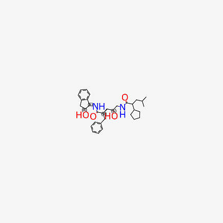 CC(C)CC(C(=O)NC[C@@H](O)C[C@@H](Cc1ccccc1)C(=O)N[C@H]1c2ccccc2C[C@H]1O)C1CCCC1